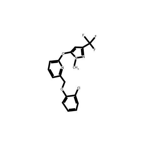 Cn1nc(C(F)(F)F)cc1Oc1cccc(COc2ccccc2Cl)n1